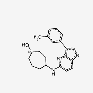 O[C@H]1CCCC(Nc2ccc3ncc(-c4cccc(C(F)(F)F)c4)n3n2)CC1